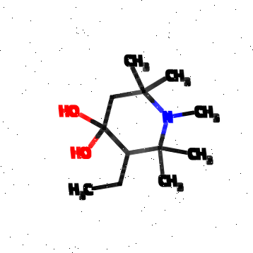 CCC1C(O)(O)CC(C)(C)N(C)C1(C)C